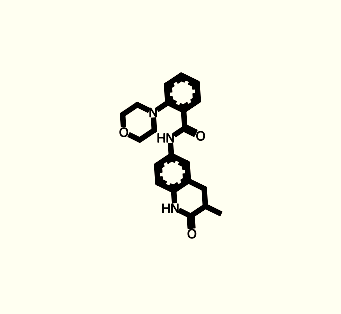 CC1Cc2cc(NC(=O)c3ccccc3N3CCOCC3)ccc2NC1=O